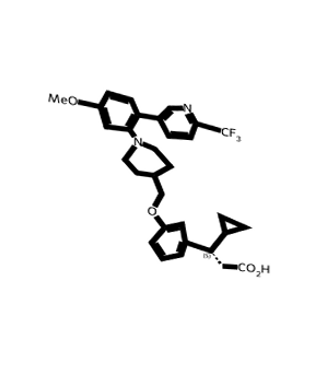 COc1ccc(-c2ccc(C(F)(F)F)nc2)c(N2CCC(COc3cccc([C@@H](CC(=O)O)C4CC4)c3)CC2)c1